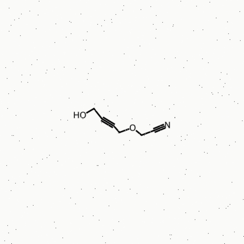 N#CCOCC#CCO